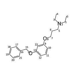 CCN(CC)CCCOc1cccc(OCc2ccccc2)c1